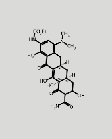 CCOC(=O)Nc1cc(N(C)C)c2c(c1O)C(=O)C1=C(O)[C@]3(O)C(=O)C(C(N)=O)C(O)C[C@@H]3C[C@@H]1C2